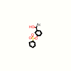 CC(=O)C(O)c1cccc(OS(=O)(=O)c2ccccc2)c1